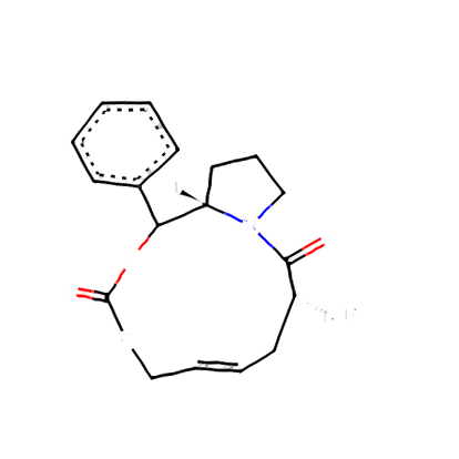 CC(=O)N[C@@H]1C/C=C/CCC(=O)OC(c2ccccc2)[C@@H]2CCCN2C1=O